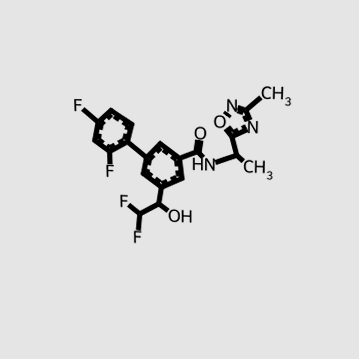 Cc1noc(C(C)NC(=O)c2cc(-c3ccc(F)cc3F)cc(C(O)C(F)F)c2)n1